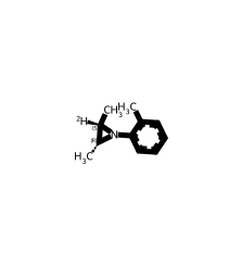 [2H][C@]1(C)[C@@H](C)N1c1ccccc1C